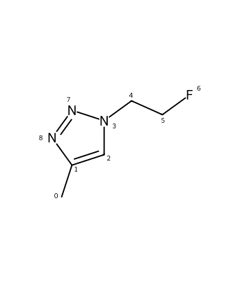 Cc1cn(CCF)nn1